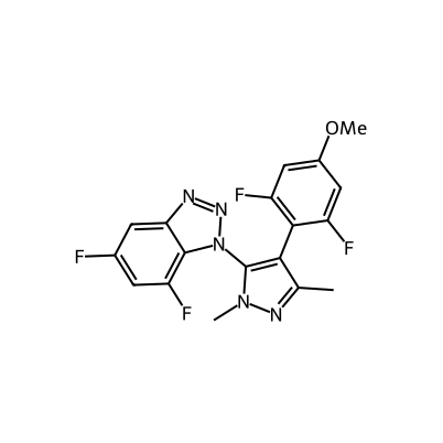 COc1cc(F)c(-c2c(C)nn(C)c2-n2nnc3cc(F)cc(F)c32)c(F)c1